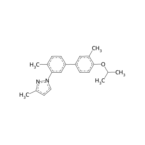 Cc1ccn(-c2cc(-c3ccc(OC(C)C)c(C)c3)ccc2C)n1